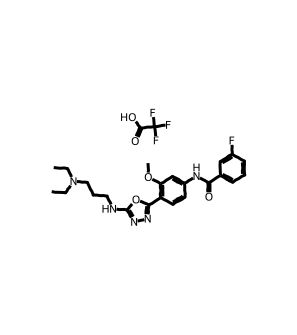 CCN(CC)CCCNc1nnc(-c2ccc(NC(=O)c3cccc(F)c3)cc2OC)o1.O=C(O)C(F)(F)F